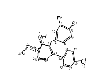 N=c1c(-c2ccc(F)c(F)c2)c(-c2ccc(Cl)cc2)cnn1C=O